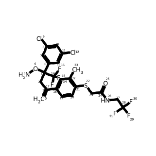 C=C(CC(ON)(c1cc(Cl)cc(Cl)c1)C(F)(F)F)c1ccc(SCC(=O)NCC(F)(F)F)c(C)c1